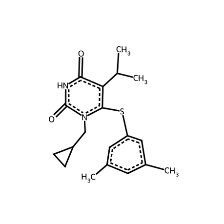 Cc1cc(C)cc(Sc2c(C(C)C)c(=O)[nH]c(=O)n2CC2CC2)c1